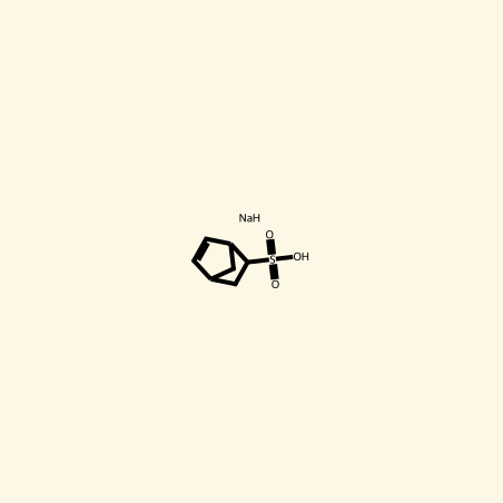 O=S(=O)(O)C1CC2C=CC1C2.[NaH]